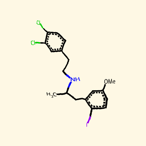 COc1ccc(I)c(CC(C)NCCc2ccc(Cl)c(Cl)c2)c1